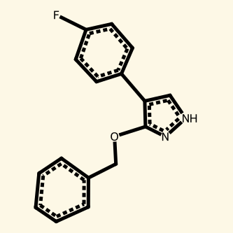 Fc1ccc(-c2c[nH]nc2OCc2ccccc2)cc1